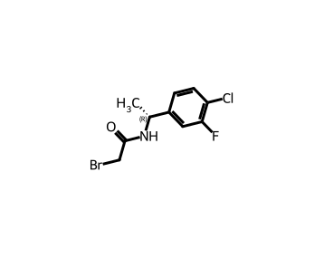 C[C@@H](NC(=O)CBr)c1ccc(Cl)c(F)c1